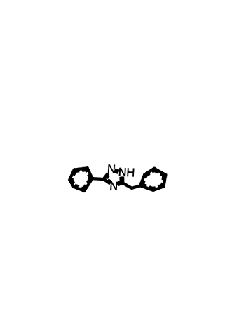 c1ccc(Cc2nc(-c3ccccc3)n[nH]2)cc1